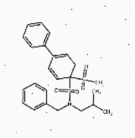 CC(C)CN(Cc1ccccc1)S(=O)(=O)C1(S(C)(=O)=O)C=CC(c2ccccc2)=CC1